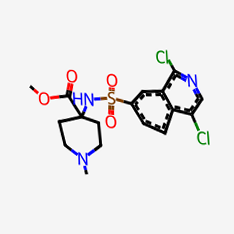 COC(=O)C1(NS(=O)(=O)c2ccc3c(Cl)cnc(Cl)c3c2)CCN(C)CC1